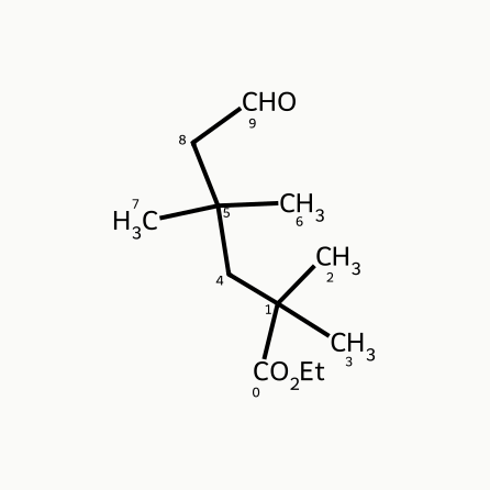 CCOC(=O)C(C)(C)CC(C)(C)CC=O